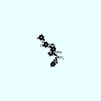 COc1cc2ncnc(Nc3ccc(OCc4cccc(F)c4)c(Cl)c3)c2cc1C1(CCCN(C)CCS(=O)(=O)c2ccccc2)CC=CO1